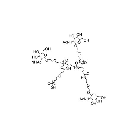 CC(=O)NC1C(OCCOCCNC(=O)CCC(NC(=O)CCC(NC(=O)CCOCCOP(C)(=O)S)C(=O)NCCOCCOC2OC(CO)C(O)C(O)C2NC(C)=O)C(=O)NCCOCCOC2OC(CO)C(O)C(O)C2NC(C)=O)CC(CO)C(O)C1O